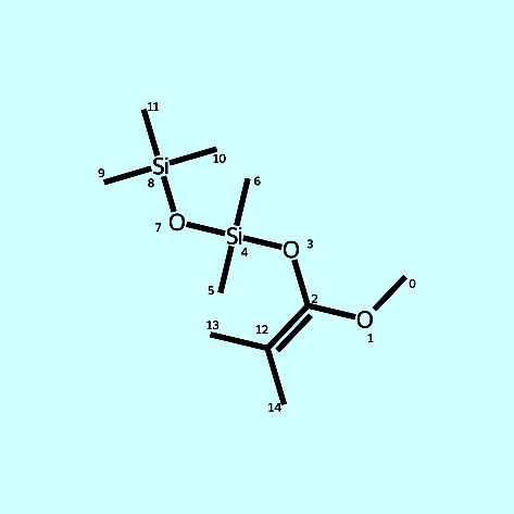 COC(O[Si](C)(C)O[Si](C)(C)C)=C(C)C